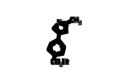 CCOC(=O)c1ccc(-c2cnn(C)c2)cc1